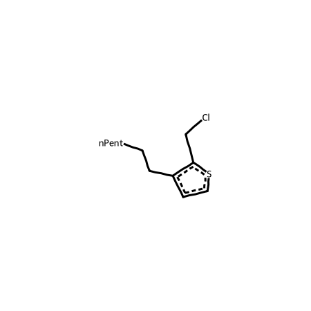 CCCCCCCc1ccsc1CCl